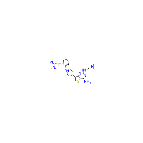 CN(C)CCNc1nc(N)c2scc(C3CCN(Cc4ccccc4OCC(N(C)C)N(C)C)CC3)c2n1